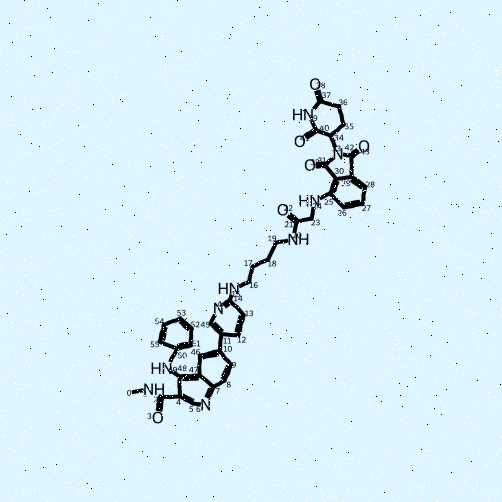 CNC(=O)c1cnc2ccc(-c3ccc(NCCCCNC(=O)CNc4cccc5c4C(=O)N(C4CCC(=O)NC4=O)C5=O)nc3)cc2c1Nc1ccccc1